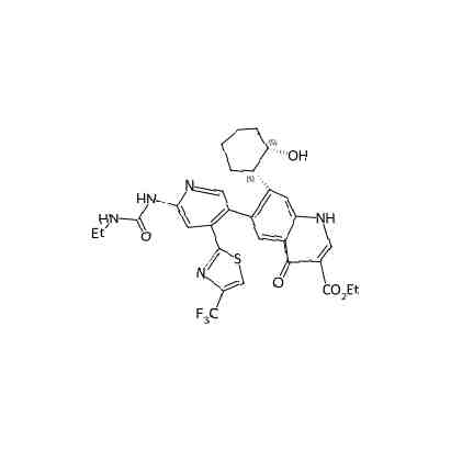 CCNC(=O)Nc1cc(-c2nc(C(F)(F)F)cs2)c(-c2cc3c(=O)c(C(=O)OCC)c[nH]c3cc2[C@@H]2CCCC[C@@H]2O)cn1